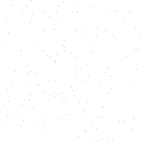 CC(O)c1ccc2c(cnn2C)c1